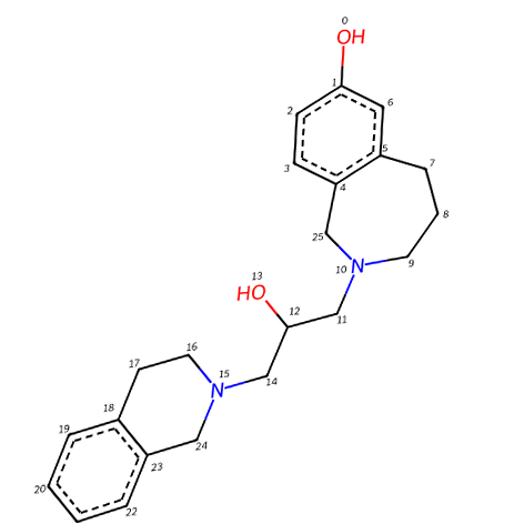 Oc1ccc2c(c1)CCCN(CC(O)CN1CCc3ccccc3C1)C2